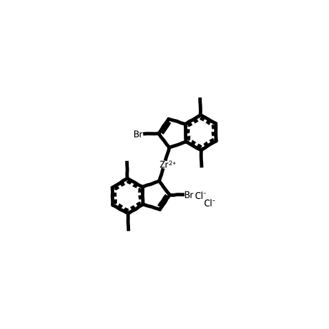 Cc1ccc(C)c2c1C=C(Br)[CH]2[Zr+2][CH]1C(Br)=Cc2c(C)ccc(C)c21.[Cl-].[Cl-]